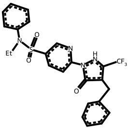 CCN(c1ccccc1)S(=O)(=O)c1ccc(-n2[nH]c(C(F)(F)F)c(Cc3ccccc3)c2=O)nc1